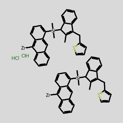 CC1=C(Cc2cccs2)c2ccccc2C1[Si](C)(C)c1cccc2[c]([Zr])c3ccccc3cc12.CC1=C(Cc2cccs2)c2ccccc2C1[Si](C)(C)c1cccc2[c]([Zr])c3ccccc3cc12.Cl.Cl